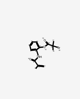 C=C(C)C(=O)Nc1ccccc1OC(=O)C(C)(C)Br